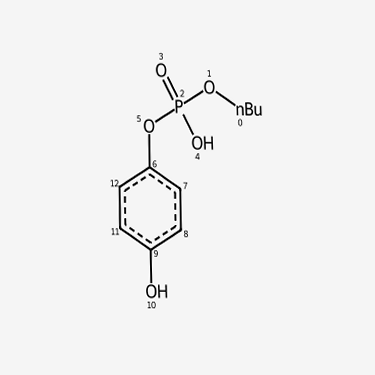 CCCCOP(=O)(O)Oc1ccc(O)cc1